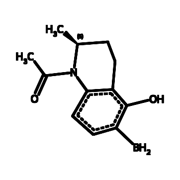 Bc1ccc2c(c1O)CC[C@H](C)N2C(C)=O